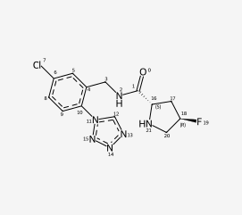 O=C(NCc1cc(Cl)ccc1-n1cnnn1)[C@@H]1C[C@@H](F)CN1